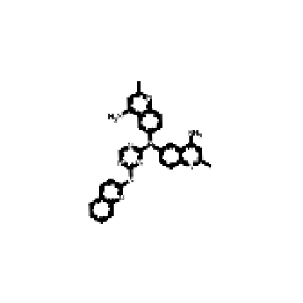 Cc1cc(N)c2cc(N(c3ccc4nc(C)cc(N)c4c3)c3ncnc(Sc4ccc5ccccc5n4)n3)ccc2n1